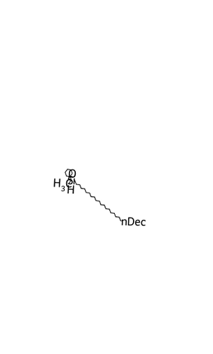 CCCCCCCCCCCCCCCCCCCCCCCCCCCCCC[SiH](C)C1CCCCO1